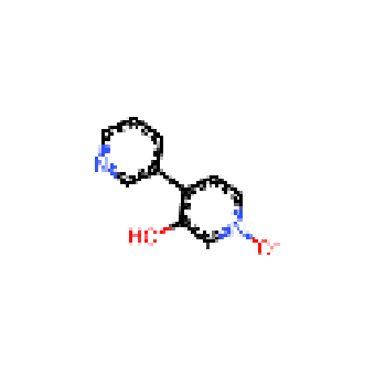 [O-][n+]1[c]c(O)c(-c2cccnc2)cc1